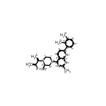 C=C(F)C(=C)N1CCN(c2nc(C)nc3nc(-c4cccc(C)c4C)ccc23)CC1CCC